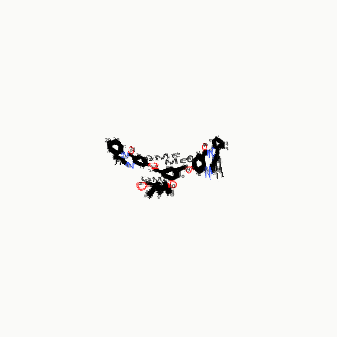 COC(=O)C(C)(C)CC(C)(C)Oc1cc(COc2cc3c(cc2OC)C(=O)N2c4ccccc4C[C@H]2C=N3)cc(COc2cc3c(cc2OC)C(=O)N2c4ccccc4C[C@H]2C=N3)c1